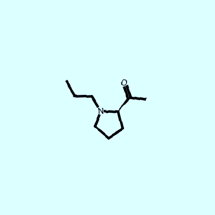 CCCN1CCC[C@@H]1C(C)=O